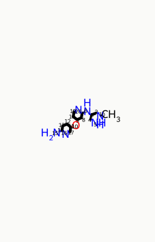 CN/C=C(\C=N)Nc1cc(Oc2ccc(N)nc2)ccn1